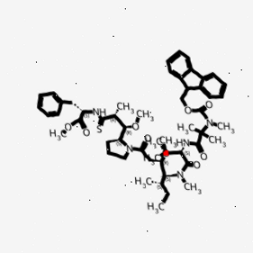 CC[C@H](C)[C@@H]([C@@H](CC(=O)N1CCC[C@H]1[C@H](OC)[C@@H](C)C(=S)N[C@@H](Cc1ccccc1)C(=O)OC)OC)N(C)C(=O)[C@@H](NC(=O)C(C)(C)N(C)C(=O)OCC1c2ccccc2-c2ccccc21)C(C)C